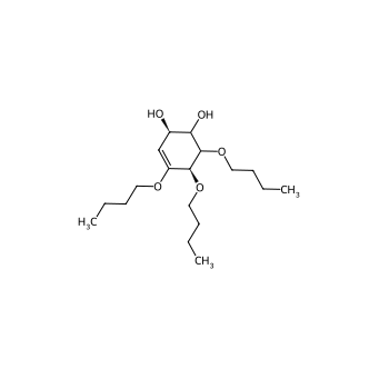 CCCCOC1=C[C@@H](O)C(O)C(OCCCC)[C@H]1OCCCC